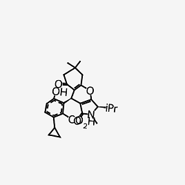 CC(C)[C@@H]1C2=C(C(=O)N1C)[C@@H](c1c(O)ccc(C3CC3)c1C(=O)O)C1=C(CC(C)(C)CC1=O)O2